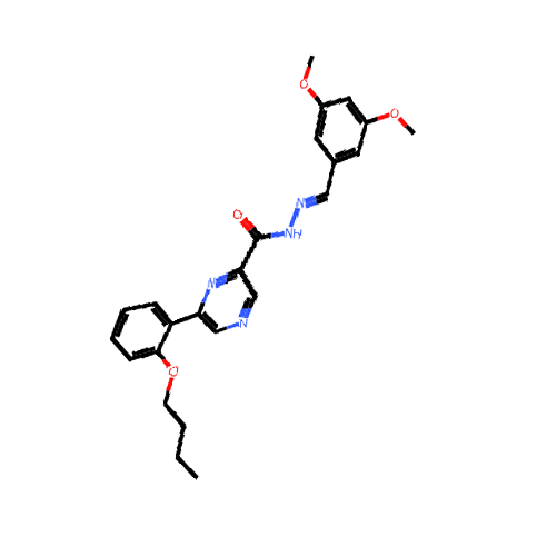 CCCCOc1ccccc1-c1cncc(C(=O)NN=Cc2cc(OC)cc(OC)c2)n1